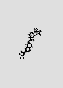 Cn1cc(-c2ccc3cnc(CC(=O)C4(F)CCN(CC(C)(C)C)CC4)cc3c2)cn1